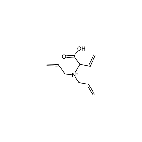 C=CC[N+](CC=C)C(C=C)C(=O)O